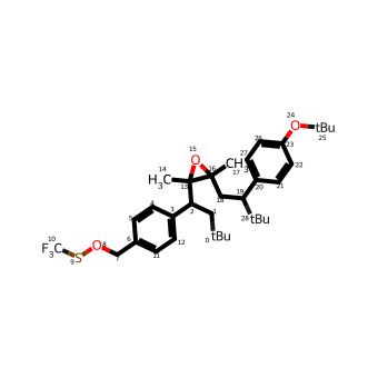 CC(C)(C)CC(c1ccc(COSC(F)(F)F)cc1)C1(C)OC1(C)CC(c1ccc(OC(C)(C)C)cc1)C(C)(C)C